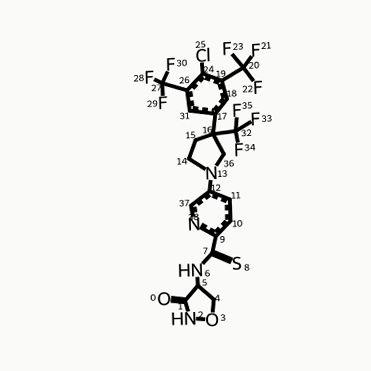 O=C1NOCC1NC(=S)c1ccc(N2CCC(c3cc(C(F)(F)F)c(Cl)c(C(F)(F)F)c3)(C(F)(F)F)C2)cn1